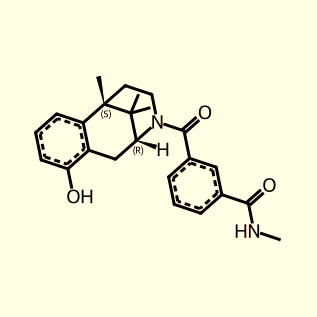 CNC(=O)c1cccc(C(=O)N2CC[C@@]3(C)c4cccc(O)c4C[C@@H]2C3(C)C)c1